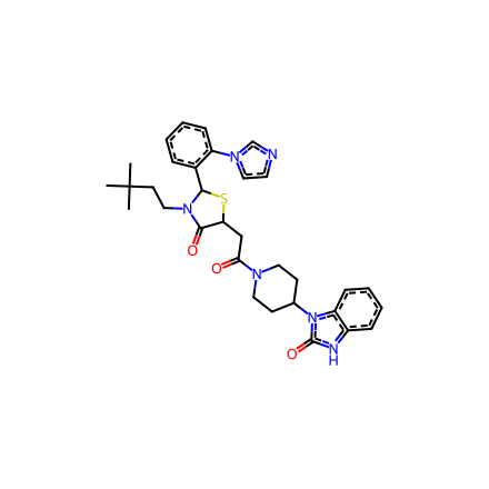 CC(C)(C)CCN1C(=O)C(CC(=O)N2CCC(n3c(=O)[nH]c4ccccc43)CC2)SC1c1ccccc1-n1ccnc1